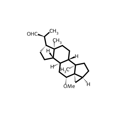 CO[C@@H]1C[C@H]2[C@@H]3CC[C@H]([C@H](C)C=O)[C@@]3(C)CC[C@@H]2[C@@]2(C)CC[C@H]3C[C@]312